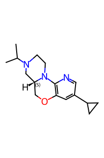 CC(C)N1CCN2c3ncc(C4CC4)cc3OC[C@@H]2C1